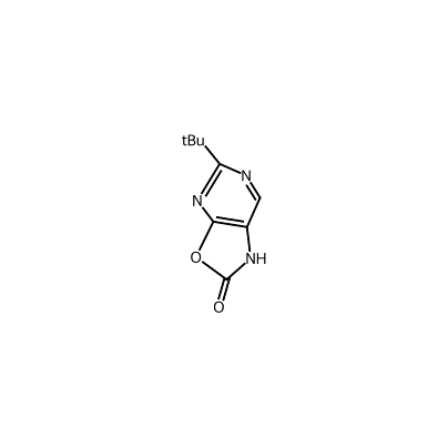 CC(C)(C)c1ncc2[nH]c(=O)oc2n1